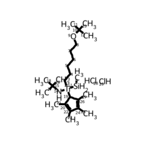 C[SiH2][Ti]([CH2]CCCCCOC(C)(C)C)([NH]C(C)(C)C)[CH]1C(C)=C(C)C(C)=C1C.Cl.Cl